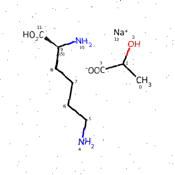 CC(O)C(=O)[O-].NCCCC[C@H](N)C(=O)O.[Na+]